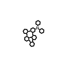 c1ccc(N(c2ccccc2)c2ccc3c4ccccc4c4cccc5c6ccccc6c6cccc(c3c2)c6c45)cc1